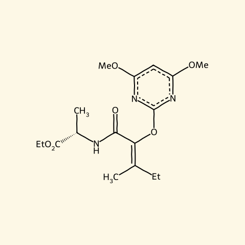 CCOC(=O)[C@H](C)NC(=O)/C(Oc1nc(OC)cc(OC)n1)=C(\C)CC